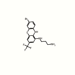 NCCCNc1cc(C(F)(F)F)cc2c1Nc1ccc(Br)cc1S2